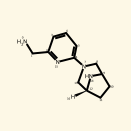 NCc1cccc(N2CC3CC[C@H](C2)N3)n1